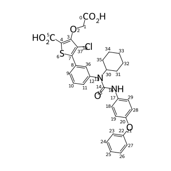 O=C(O)COc1c(C(=O)O)sc(-c2cccc(N(C(=O)Nc3ccc(Oc4ccccc4)cc3)C3CCCCC3)c2)c1Cl